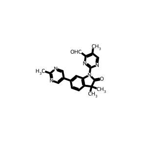 Cc1ncc(-c2ccc3c(c2)N(c2ncc(C)c(C=O)n2)C(=O)C3(C)C)cn1